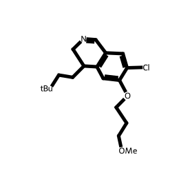 COCCCOc1cc2c(cc1Cl)C=NCC2CCC(C)(C)C